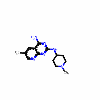 CN1CCC(Nc2nc(N)c3cc(C(F)(F)F)cnc3n2)CC1